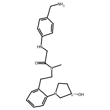 CN(CCc1ccccc1N1CC[C@H](O)C1)C(=O)CNc1ccc(CN)cc1